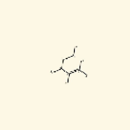 CCCC(C)C(C)=C(C)C